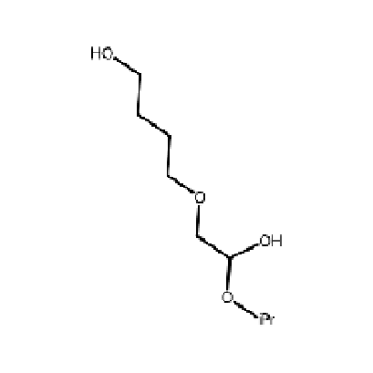 CC(C)OC(O)COCCCCO